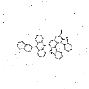 Ic1cc2cc(-c3c4ccccc4c(-c4ccc5ccccc5c4)c4ccccc34)c3sc4ccccc4c3c2c2c1sc1ccccc12